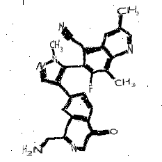 Cc1cnc2c(C)c(F)c(-c3c(-c4ccc5c(c4)C(CN)=NCC5=O)cnn3C)c(C#N)c2c1